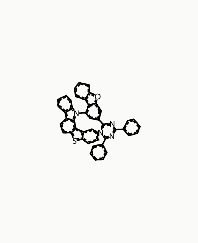 c1ccc(-c2nc(-c3ccccc3)nc(-c3cc(-n4c5ccccc5c5ccc6sc7ccccc7c6c54)c4c(c3)oc3ccccc34)n2)cc1